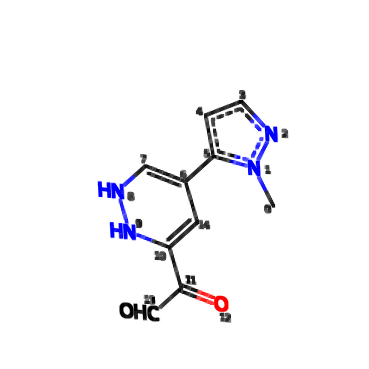 Cn1nccc1C1=CNNC(C(=O)C=O)=C1